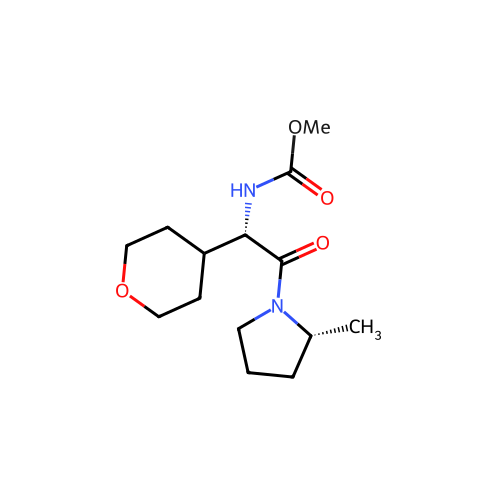 COC(=O)N[C@H](C(=O)N1CCC[C@H]1C)C1CCOCC1